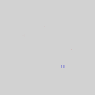 Cc1c(O)c(O)c(C)c2c1CCNC2=O